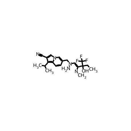 C=N/C(=C\N(N)Cc1ccc2c(C(C)C)c(C#N)cn2c1)C(O)(CC)C(F)(F)F